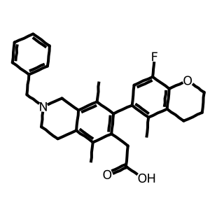 Cc1c(-c2c(C)c3c(c(C)c2CC(=O)O)CCN(Cc2ccccc2)C3)cc(F)c2c1CCCO2